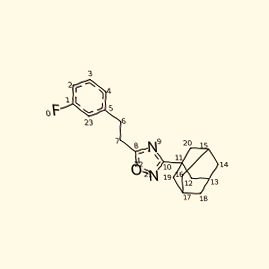 Fc1cccc(CCc2nc(C34CC5CC(CC(C5)C3)C4)no2)c1